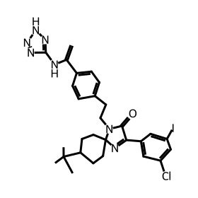 C=C(Nc1nn[nH]n1)c1ccc(CCN2C(=O)C(c3cc(Cl)cc(I)c3)=NC23CCC(C(C)(C)C)CC3)cc1